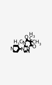 CN1C(=O)C(C)(C)C(=O)N2N=CN(c3ccncc3)C12